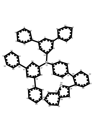 c1ccc(-c2cc(-c3ccccc3)cc(N(c3ccc(-c4ccccc4-c4cc5ccccc5o4)cc3)c3cc(-c4ccccc4)cc(-c4ccccc4)c3)c2)cc1